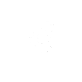 O=C1CCC(c2ccccc2)(S(=O)(=O)c2ccccc2)C(O)N1